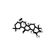 C=C[C@]12CCC(C)(C)CC1C1C(=C)CC3[C@@]4(C)C=C(C#N)C(=O)C(C)(C)C4CC[C@@]3(C)[C@]1(C)CC2